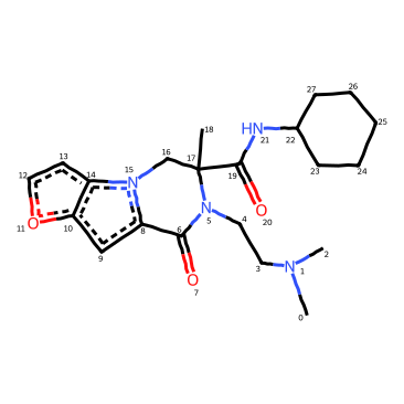 CN(C)CCN1C(=O)c2cc3occc3n2CC1(C)C(=O)NC1CCCCC1